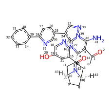 CC(=O)c1c([C@@H]2C[C@H]3CC[C@@H](C2)N3C(=O)c2cncc(O)c2)nc2c(-c3ccc(-c4ccccc4)nc3)cnn2c1N